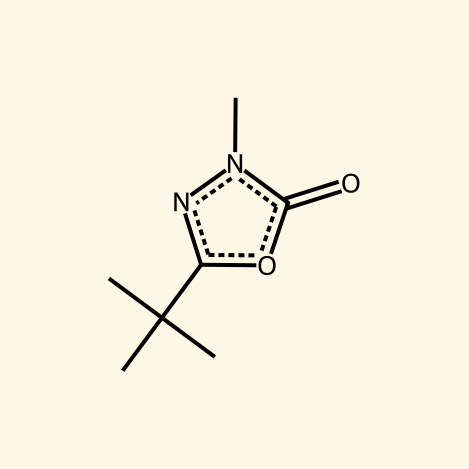 Cn1nc(C(C)(C)C)oc1=O